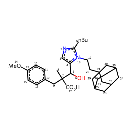 CCCCc1ncc(C(O)C(C)(Cc2ccc(OC)cc2)C(=O)O)n1CCC12CC3CC(CC(C3)C1)C2